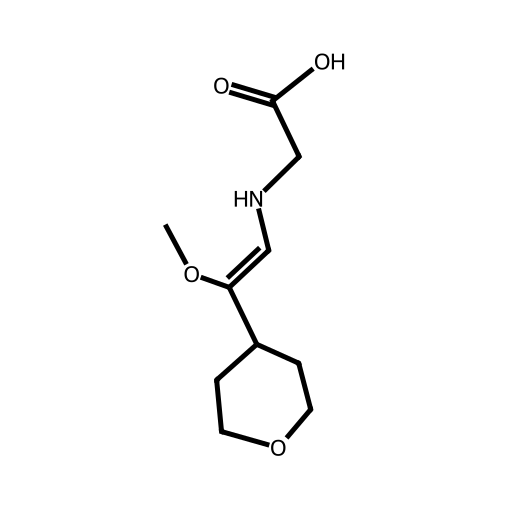 COC(=CNCC(=O)O)C1CCOCC1